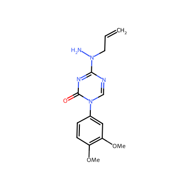 C=CCN(N)c1ncn(-c2ccc(OC)c(OC)c2)c(=O)n1